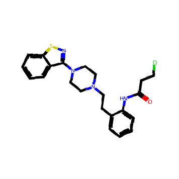 O=C(CCCl)Nc1ccccc1CCN1CCN(c2nsc3ccccc23)CC1